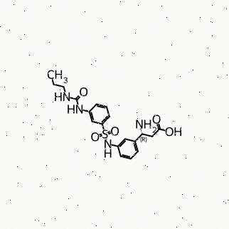 CCCNC(=O)Nc1cccc(S(=O)(=O)Nc2cccc([C@H](N)CC(=O)O)c2)c1